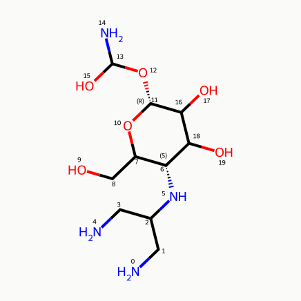 NCC(CN)N[C@@H]1C(CO)O[C@H](OC(N)O)C(O)C1O